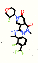 CC(Nc1nn(C)c(=O)c2cc(=O)n([C@H]3CCOC[C@@H]3F)cc12)c1cccc(C(F)F)c1F